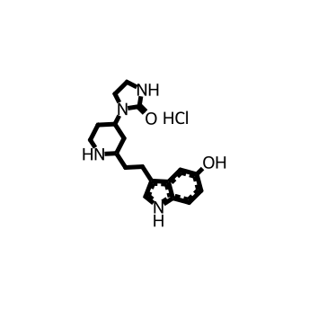 Cl.O=C1NCCN1C1CCNC(CCc2c[nH]c3ccc(O)cc23)C1